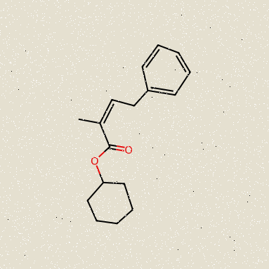 CC(=CCc1ccccc1)C(=O)OC1CCCCC1